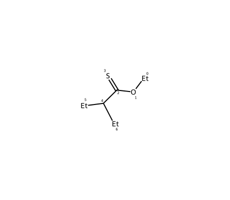 CCOC(=S)C(CC)CC